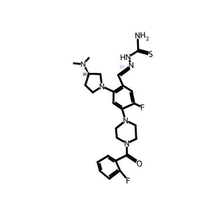 CN(C)[C@@H]1CCN(c2cc(N3CCN(C(=O)c4ccccc4F)CC3)c(F)cc2/C=N/NC(N)=S)C1